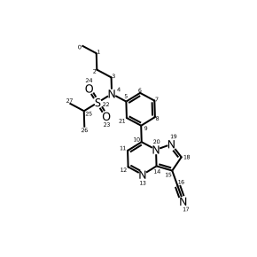 CCCCN(c1cccc(-c2ccnc3c(C#N)cnn23)c1)S(=O)(=O)C(C)C